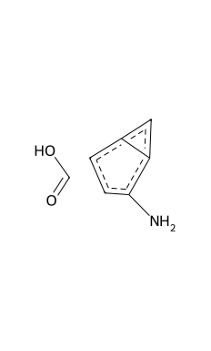 Nc1ccc2cc1-2.O=CO